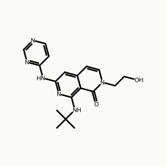 CC(C)(C)Nc1nc(Nc2ccncn2)cc2ccn(CCO)c(=O)c12